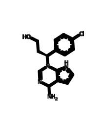 N[C]1N=CN([C@@H](CCO)c2ccc(Cl)cc2)c2[nH]ccc21